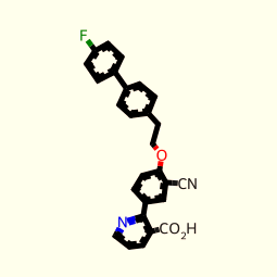 N#Cc1cc(-c2ncccc2C(=O)O)ccc1OCCc1ccc(-c2ccc(F)cc2)cc1